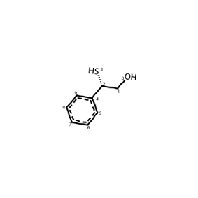 OC[C@@H](S)c1ccccc1